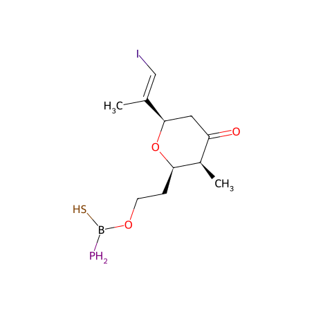 C/C(=C\I)[C@H]1CC(=O)[C@@H](C)[C@@H](CCOB(P)S)O1